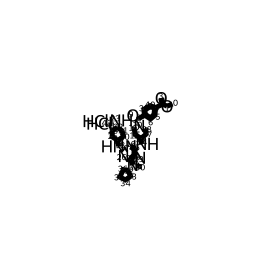 COC(=O)c1ccc(C(=O)N2CCC(Nc3nc(NC4CCC(N)CC4)nc4c3ncn4C3CCCC3)CC2)cc1.Cl.Cl